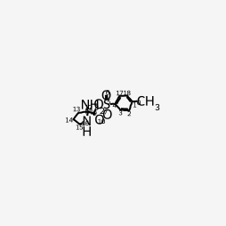 Cc1ccc(S(=O)(=O)OC(=O)[C@]2(N)CCCN2)cc1